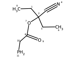 CCC(C#N)(CC)OC(=O)CP